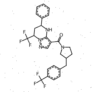 O=C(c1cnn2c1NC(c1ccccc1)CC2C(F)(F)F)N1CCC(Cc2ccc(C(F)(F)F)cc2)C1